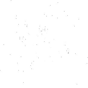 CN(C)CC(=N)c1cc(-c2ccccc2OCc2ccnc3ccccc23)ccc1N